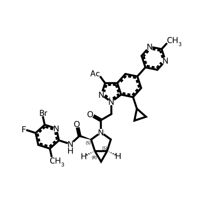 CC(=O)c1nn(CC(=O)N2C[C@H]3C[C@H]3[C@H]2C(=O)Nc2nc(Br)c(F)cc2C)c2c(C3CC3)cc(-c3cnc(C)nc3)cc12